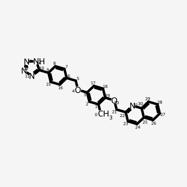 Cc1cc(OCc2ccc(-c3nnn[nH]3)cc2)ccc1OCc1ccc2ccccc2n1